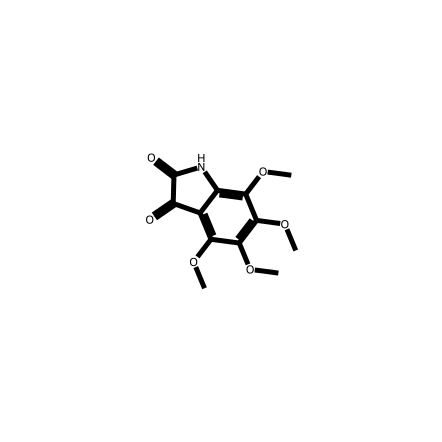 COc1c2c(c(OC)c(OC)c1OC)C(=O)C(=O)N2